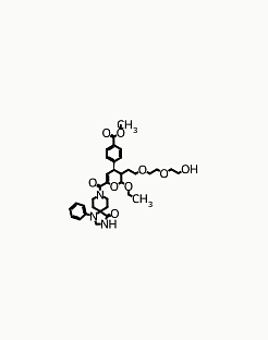 CCOC1OC(C(=O)N2CCC3(CC2)C(=O)NCN3c2ccccc2)=C[C@@H](c2ccc(C(=O)OC)cc2)C1CCOCCOCCO